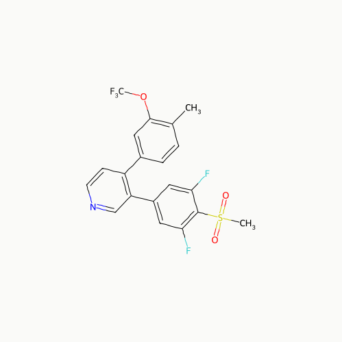 Cc1ccc(-c2ccncc2-c2cc(F)c(S(C)(=O)=O)c(F)c2)cc1OC(F)(F)F